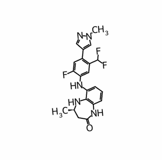 C[C@@H]1CC(=O)Nc2cccc(Nc3cc(C(F)F)c(-c4cnn(C)c4)cc3F)c2N1